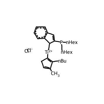 CCCCCCP(CCCCCC)C1=Cc2ccccc2[CH]1[Ti+2][C]1=C(CCCC)C(C)=CC1.[Cl-].[Cl-]